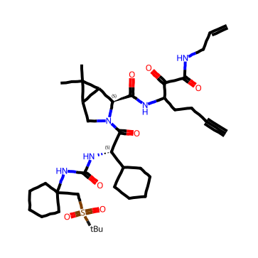 C#CCCC(NC(=O)[C@@H]1C2C(CN1C(=O)[C@@H](NC(=O)NC1(CS(=O)(=O)C(C)(C)C)CCCCC1)C1CCCCC1)C2(C)C)C(=O)C(=O)NCC=C